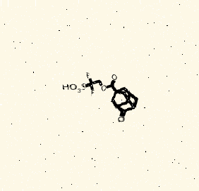 O=C1C2CC3CC1CC(C(=O)OCC(F)(F)S(=O)(=O)O)(C3)C2